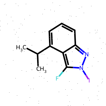 CC(C)c1cccc2nn(I)c(F)c12